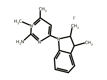 Cc1cc(N2c3ccccc3C(C)C2C)nc(N)[n+]1C.[I-]